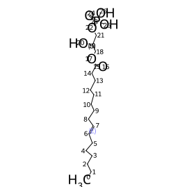 CCCCCC/C=C/CCCCCCCC(=O)OC[C@H](O)COP(=O)(O)O